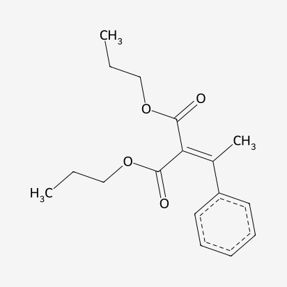 CCCOC(=O)C(C(=O)OCCC)=C(C)c1ccccc1